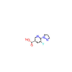 O=C(O)c1cnc(-n2cccn2)c(F)c1